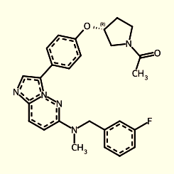 CC(=O)N1CC[C@@H](Oc2ccc(-c3cnc4ccc(N(C)Cc5cccc(F)c5)nn34)cc2)C1